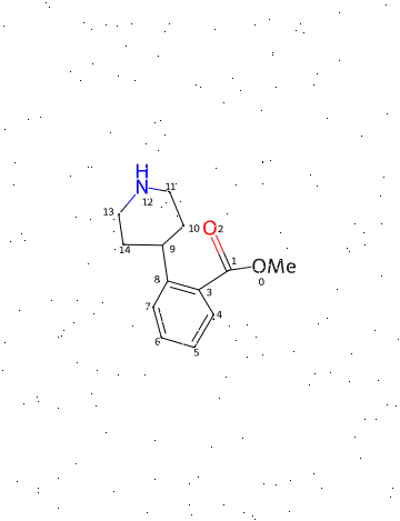 COC(=O)c1[c]cccc1C1CCNCC1